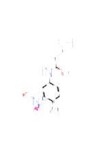 CCCC(=O)Nc1ccc(Cl)c([N+](=O)[O-])c1